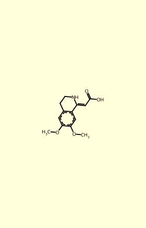 COc1cc2c(cc1OC)C(=CC(=O)O)NCC2